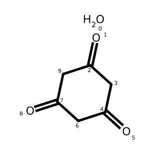 O.O=C1CC(=O)CC(=O)C1